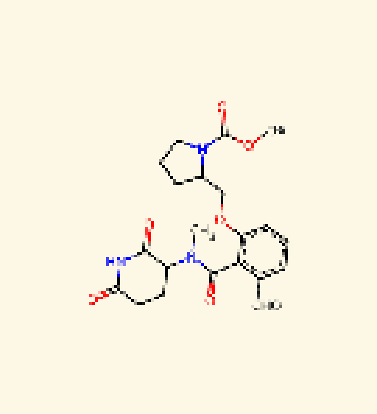 CN(C(=O)c1c(C=O)cccc1OCC1CCCN1C(=O)OC(C)(C)C)C1CCC(=O)NC1=O